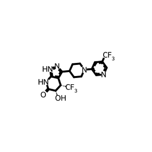 O=C1Nc2[nH]nc(C3CCN(c4cncc(C(F)(F)F)c4)CC3)c2[C@H](C(F)(F)F)[C@@H]1O